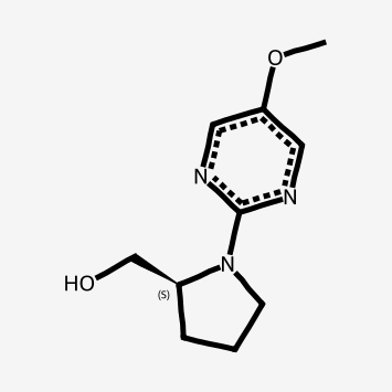 COc1cnc(N2CCC[C@H]2CO)nc1